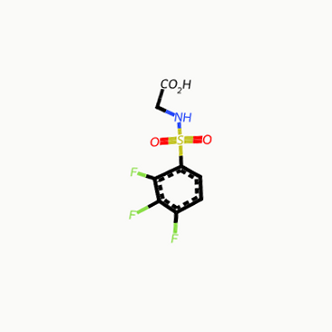 O=C(O)CNS(=O)(=O)c1ccc(F)c(F)c1F